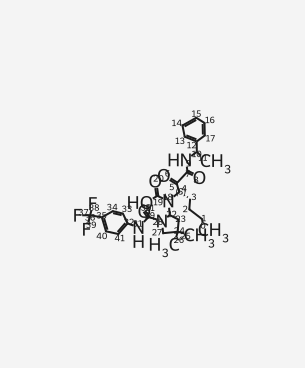 CCCC[C@@H](C(=O)C(=O)NC(C)c1ccccc1)N(C(=O)O)C1CC(C)(C)CN1C(=O)Nc1ccc(C(F)(F)F)cc1